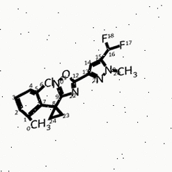 Cc1cccc(Cl)c1C1(c2noc(-c3cc(C(F)F)n(C)n3)n2)CC1